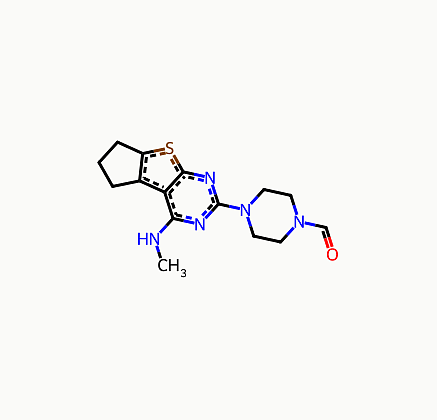 CNc1nc(N2CCN(C=O)CC2)nc2sc3c(c12)CCC3